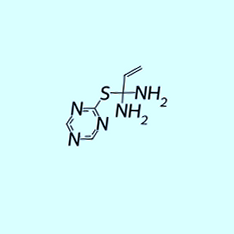 C=CC(N)(N)Sc1ncncn1